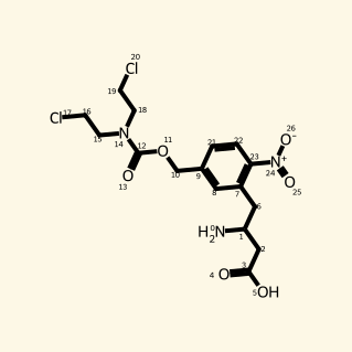 NC(CC(=O)O)Cc1cc(COC(=O)N(CCCl)CCCl)ccc1[N+](=O)[O-]